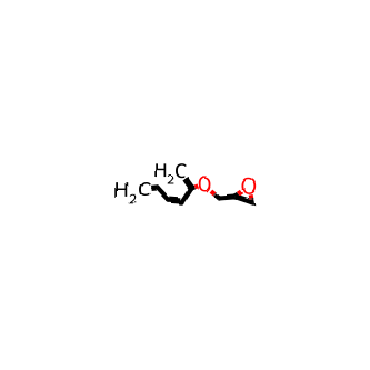 C=C/C=C\C(=C)OCC1CO1